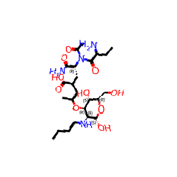 CCCCN[C@@H]1[C@@H](OC(C)CC(C[C@H](C(N)=O)N(C(C)=O)C(=O)C(N)CC)C(=O)O)[C@H](O)[C@@H](CO)O[C@@H]1O